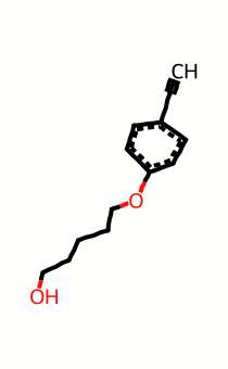 C#Cc1ccc(OCCCCCO)cc1